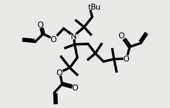 C=CC(=O)OCN(C(C)(C)CC(C)(C)C)C(C)(CC(C)(C)CC(C)(C)OC(=O)C=C)CC(C)(C)OC(=O)C=C